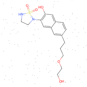 O=S1(=O)NCCN1c1cc2cc(CCCOCCO)ccc2cc1O